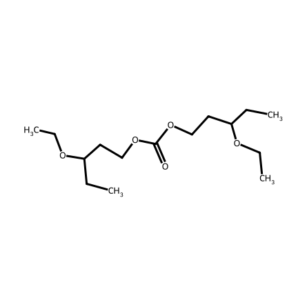 CCOC(CC)CCOC(=O)OCCC(CC)OCC